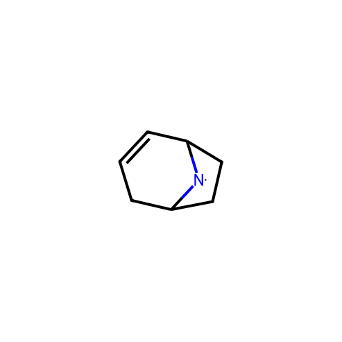 C1=CC2CCC(C1)[N]2